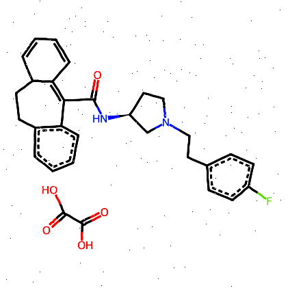 O=C(N[C@H]1CCN(CCc2ccc(F)cc2)C1)C1=C2C=CC=CC2CCc2ccccc21.O=C(O)C(=O)O